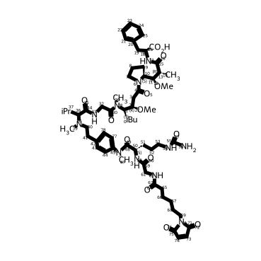 CC[C@H](C)C([C@@H](CC(=O)N1CCC[C@H]1[C@H](OC)[C@@H](C)C(=O)N[C@@H](Cc1ccccc1)C(=O)O)OC)N(C)C(=O)CNC(=O)C(C(C)C)N(C)CCc1ccc(N(C)C(=O)[C@H](CCCNC(N)=O)NC(=O)CNC(=O)CCCCCN2C(=O)C=CC2=O)cc1